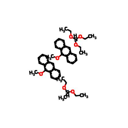 CCO[SiH](C)OCC.CCO[SiH](OCC)OCC.COc1c2ccccc2cc2ccccc12.COc1c2ccccc2cc2ccccc12